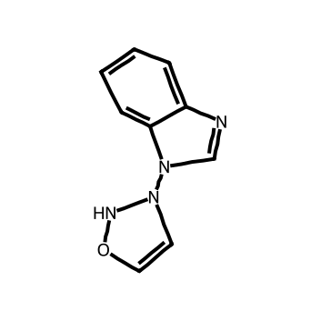 C1=CN(n2cnc3ccccc32)NO1